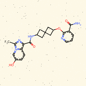 NC(=O)c1cccnc1OC1CC2(CC(NC(=O)c3nc(C(F)(F)F)n4cc(O)ccc34)C2)C1